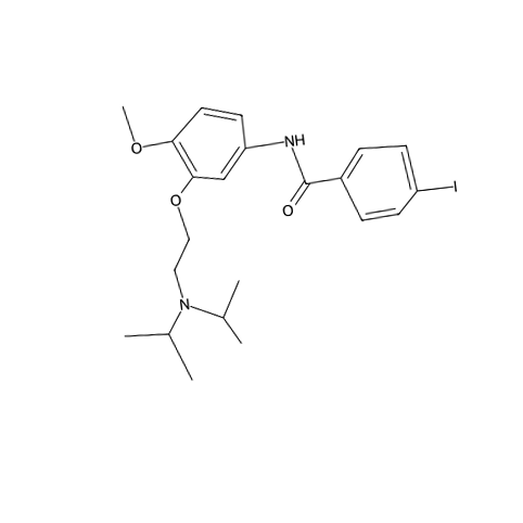 COc1ccc(NC(=O)c2ccc(I)cc2)cc1OCCN(C(C)C)C(C)C